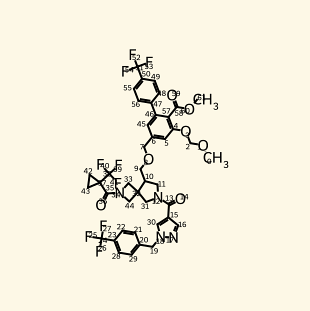 COCOc1cc(COCC2CN(C(=O)c3cnn(Cc4ccc(C(F)(F)F)cc4)c3)CC23CN(C(=O)C2(C(F)(F)F)CC2)C3)cc(-c2ccc(C(F)(F)F)cc2)c1C(=O)OC